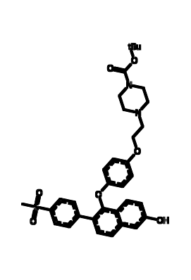 CC(C)(C)OC(=O)N1CCN(CCOc2ccc(Oc3c(-c4ccc(S(C)(=O)=O)cc4)ccc4cc(O)ccc34)cc2)CC1